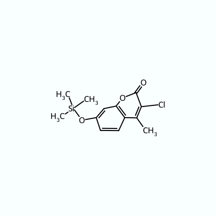 Cc1c(Cl)c(=O)oc2cc(O[Si](C)(C)C)ccc12